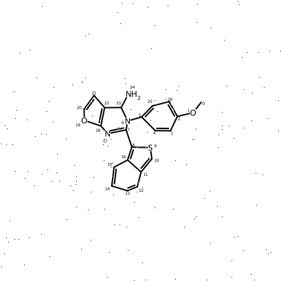 COc1ccc(N2C(c3scc4ccccc34)=Nc3occc3C2N)cc1